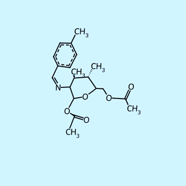 CC(=O)OCC1OC(OC(C)=O)C(/N=C\c2ccc(C)cc2)[C@@H](C)[C@@H]1C